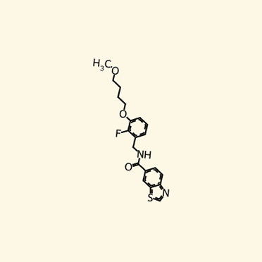 COCCCCOc1cccc(CNC(=O)c2ccc3ncsc3c2)c1F